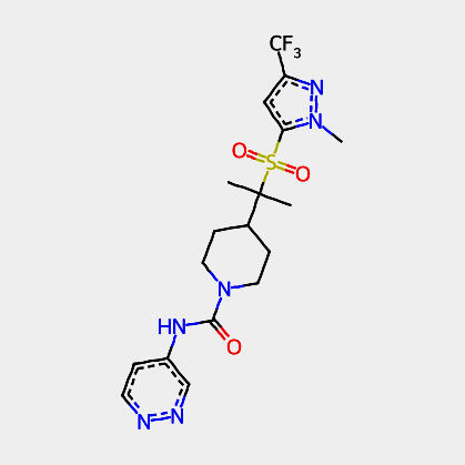 Cn1nc(C(F)(F)F)cc1S(=O)(=O)C(C)(C)C1CCN(C(=O)Nc2ccnnc2)CC1